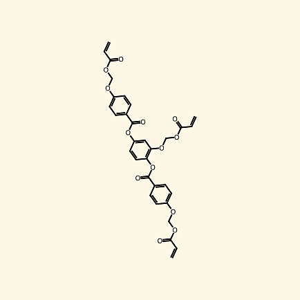 C=CC(=O)OCOc1ccc(C(=O)Oc2ccc(OC(=O)c3ccc(OCOC(=O)C=C)cc3)c(OCOC(=O)C=C)c2)cc1